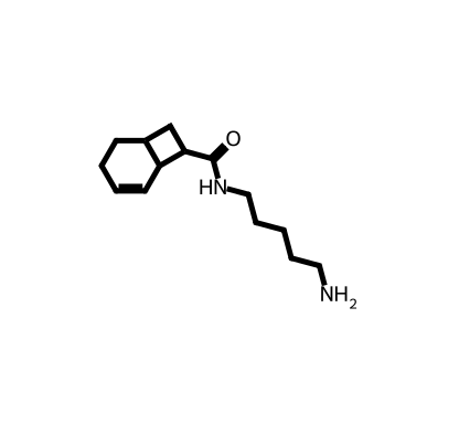 NCCCCCNC(=O)C1CC2CCC=CC21